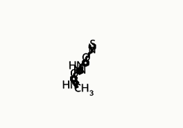 Cc1cc2cc(Oc3ccnc(Nc4cccc(OCCCN5CCSCC5)c4)n3)ccc2[nH]1